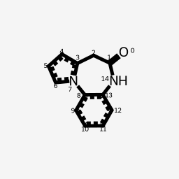 O=C1Cc2cccn2-c2ccccc2N1